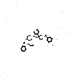 COc1cc(C(=O)N2CCC(CCN3CCC(Nc4nc5ccccc5n4CC=C(C)C)CC3)(c3ccncc3)C2)cc(OC)c1OC